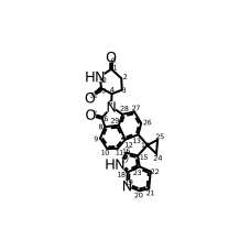 O=C1CCC(N2C(=O)c3cccc4c(C5(c6c[nH]c7ncccc67)CC5)ccc2c34)C(=O)N1